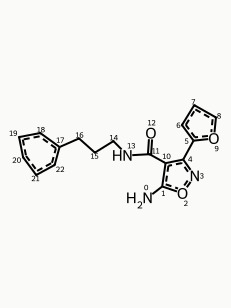 Nc1onc(-c2ccco2)c1C(=O)NCCCc1ccccc1